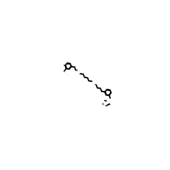 CC(=O)ON1CC(=O)N(Cc2cccc(CCCCOCCCCCCNC[C@@H](O)c3ccc(O)c(CO)c3)c2)C1=O